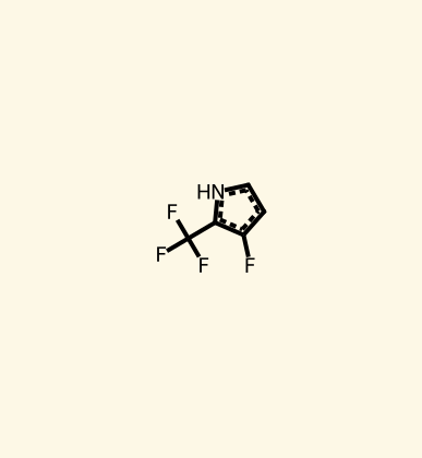 Fc1cc[nH]c1C(F)(F)F